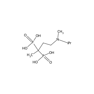 CC(C)N(C)CCC(C)(P(=O)(O)O)P(=O)(O)O